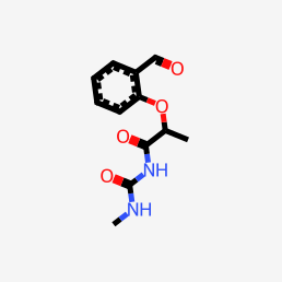 CNC(=O)NC(=O)C(C)Oc1ccccc1C=O